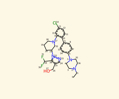 CCN1CCN(c2ccc(-c3ccc(Cl)cc3N3CCCC(n4ncc(CO)c4C(F)F)C3)cc2)CC1